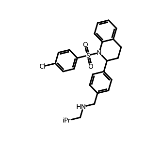 CC(C)CNCc1ccc(C2CCc3ccccc3N2S(=O)(=O)c2ccc(Cl)cc2)cc1